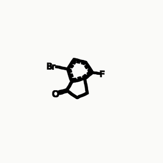 O=C1CCc2c(F)ccc(Br)c21